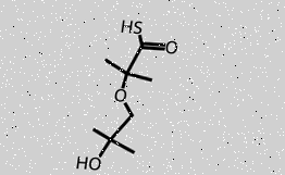 CC(C)(O)COC(C)(C)C(=O)S